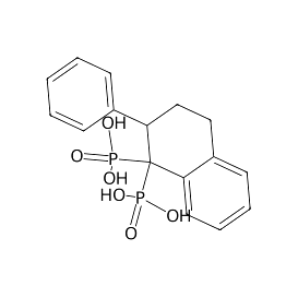 O=P(O)(O)C1(P(=O)(O)O)c2ccccc2CCC1c1ccccc1